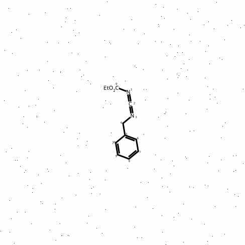 CCOC(=O)N=C=NCc1ccccc1